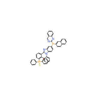 S=P(c1ccccc1)(c1ccccc1)c1cccc2c1c1ccccc1n1c3ccc(P(c4ccc5ccccc5c4)c4ncc5ccccc5n4)cc3nc21